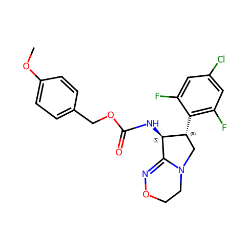 COc1ccc(COC(=O)N[C@@H]2C3=NOCCN3C[C@H]2c2c(F)cc(Cl)cc2F)cc1